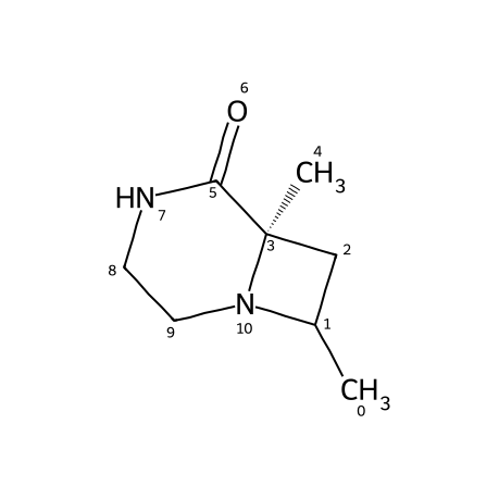 CC1C[C@]2(C)C(=O)NCCN12